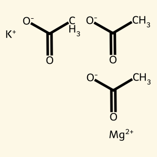 CC(=O)[O-].CC(=O)[O-].CC(=O)[O-].[K+].[Mg+2]